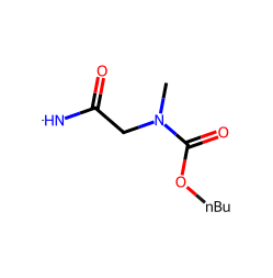 CCCCOC(=O)N(C)CC([NH])=O